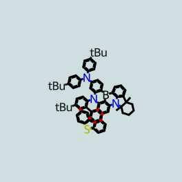 CC(C)(C)c1ccc(N(c2ccc(C(C)(C)C)cc2)c2ccc3c(c2)N(c2ccc(C(C)(C)C)cc2-c2ccccc2)c2cc(-c4cccc5sc6ccccc6c45)cc4c2B3c2cccc3c2N4C2(C)CCCCC32C)cc1